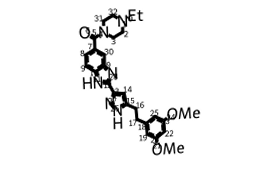 CCN1CCN(C(=O)c2ccc3[nH]c(-c4cc(CCc5cc(OC)cc(OC)c5)[nH]n4)nc3c2)CC1